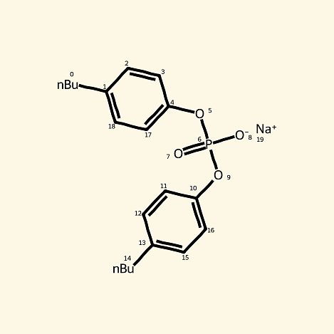 CCCCc1ccc(OP(=O)([O-])Oc2ccc(CCCC)cc2)cc1.[Na+]